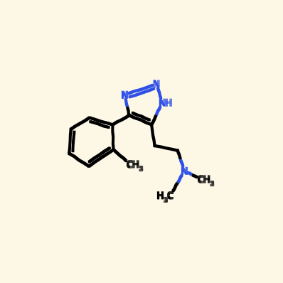 Cc1ccccc1-c1nn[nH]c1CCN(C)C